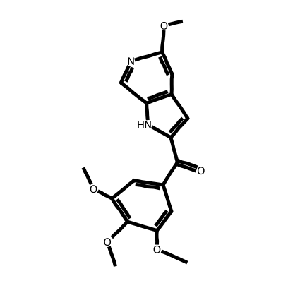 COc1cc2cc(C(=O)c3cc(OC)c(OC)c(OC)c3)[nH]c2cn1